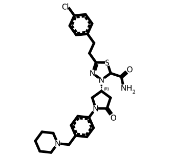 NC(=O)C1SC(CCc2ccc(Cl)cc2)=NN1[C@@H]1CC(=O)N(c2ccc(CN3CCCCC3)cc2)C1